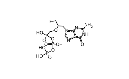 Nc1nc2c(ncn2CC(CF)OCP(=O)(O)OP(=O)(O)OP(=O)(O)O)c(=O)[nH]1